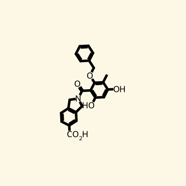 Cc1c(O)cc(O)c(C(=O)N2Cc3ccc(C(=O)O)cc3C2)c1OCc1ccccc1